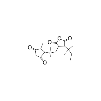 CCC(C)(C)C1C(=O)OC(=O)C1CC(C)(C)C1C(=O)CC(=O)C1C